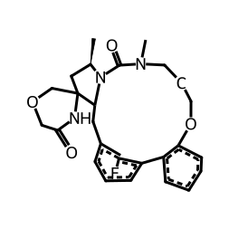 C[C@@H]1CC2(COCC(=O)N2)C2Cc3cccc(c3F)-c3ccccc3OCCCN(C)C(=O)N21